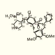 COc1ccc(CN(c2ccncn2)S(=O)(=O)c2cc(Cl)c(NC3CCNC[C@@H]3N(C)C)cc2F)c(OC)c1